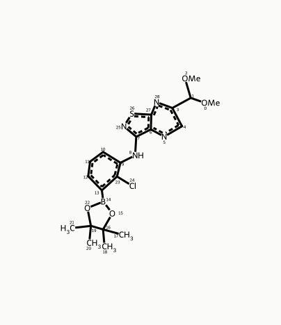 COC(OC)c1cnc2c(Nc3cccc(B4OC(C)(C)C(C)(C)O4)c3Cl)nsc2n1